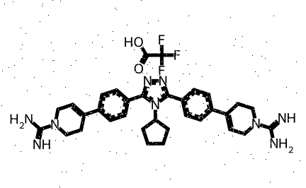 N=C(N)N1CC=C(c2ccc(-c3nnc(-c4ccc(C5=CCN(C(=N)N)CC5)cc4)n3C3CCCC3)cc2)CC1.O=C(O)C(F)(F)F